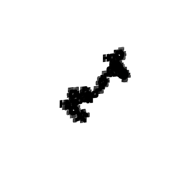 Cc1ncsc1-c1ccc([C@H](C)NC(=O)[C@@H]2CCCN2C(=O)[C@@H](c2cc(OCCN3CCN(CCOc4cc(N5C6CCC5CN(c5cc(-c7ccccc7O)nnc5N)C6)ccn4)CC3)no2)C(C)C)cc1